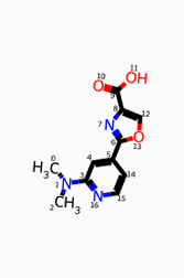 CN(C)c1cc(-c2nc(C(=O)O)co2)ccn1